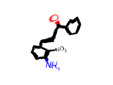 Nc1cccc(C=CC(=O)c2ccccc2)c1[N+](=O)[O-]